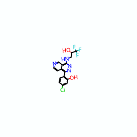 Oc1cc(Cl)ccc1-c1nnc(NCC(O)C(F)(F)F)c2cnccc12